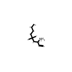 C=CC(N)CC(C)(C)CCCC